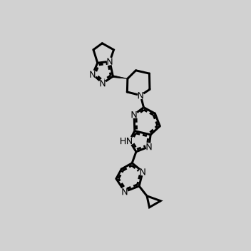 c1cc(-c2nc3ccc(N4CCC[C@H](c5nnc6n5CCC6)C4)nc3[nH]2)nc(C2CC2)n1